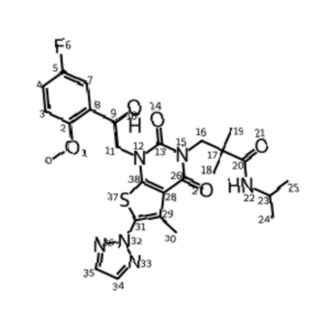 COc1ccc(F)cc1C(O)Cn1c(=O)n(CC(C)(C)C(=O)NC(C)C)c(=O)c2c(C)c(-n3nccn3)sc21